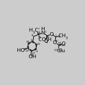 CC(OC(=O)N[C@@](C)(Cc1ccc(O)c(O)c1)C(=O)O)OC(=O)C(C)(C)C